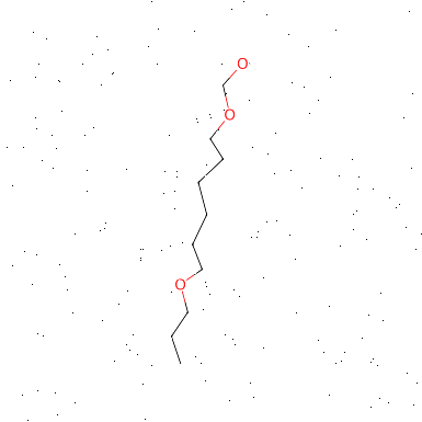 CCCOCCCCCCOC[O]